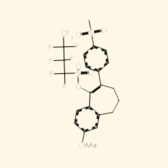 COc1ccc2c(c1)CCCC(c1ccc(S(C)(=O)=O)cc1)=C2OS(=O)(=O)C(F)(F)C(F)(F)C(F)(F)C(F)(F)F